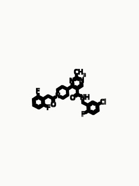 Cc1ncc(C(=O)NCc2cc(Cl)ccc2F)c(C2CCN(C(=O)Cc3c(F)cccc3F)CC2)n1